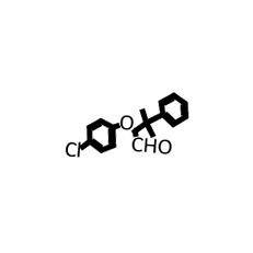 CC(C)(c1ccccc1)C(C=O)Oc1ccc(Cl)cc1